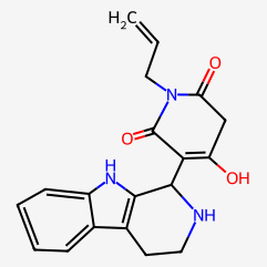 C=CCN1C(=O)CC(O)=C(C2NCCc3c2[nH]c2ccccc32)C1=O